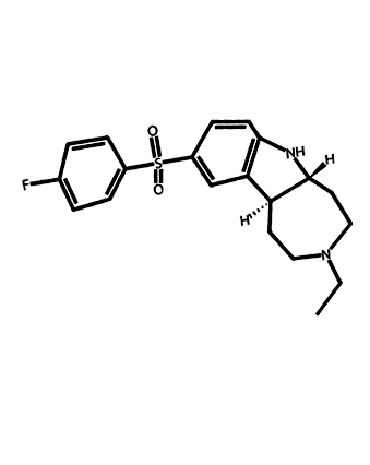 CCN1CC[C@H]2Nc3ccc(S(=O)(=O)c4ccc(F)cc4)cc3[C@@H]2CC1